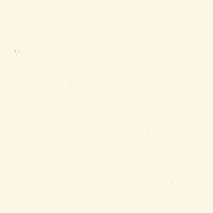 COC(=O)CCC(=O)c1ccc(OCCCl)cc1